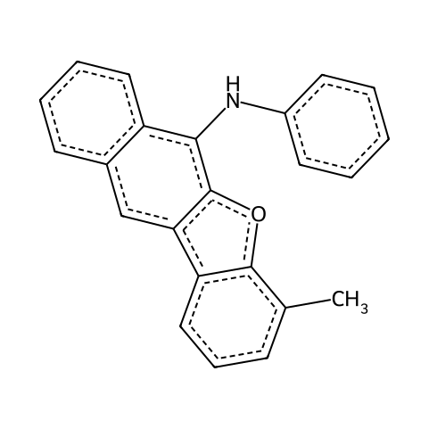 Cc1cccc2c1oc1c(Nc3ccccc3)c3ccccc3cc12